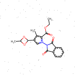 CCOC(=O)c1c(C)c(C2OC(C)O2)cn1N1C(=O)c2ccccc2C1=O